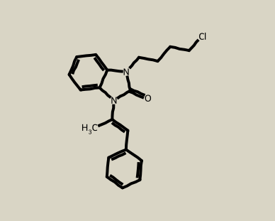 CC(=Cc1ccccc1)n1c(=O)n(CCCCCl)c2ccccc21